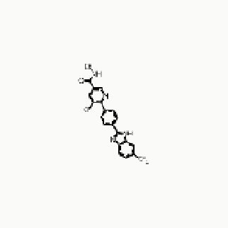 CCNC(=O)c1cnc(-c2ccc(-c3nc4ccc(C(F)(F)F)cc4[nH]3)cc2)c(Cl)c1